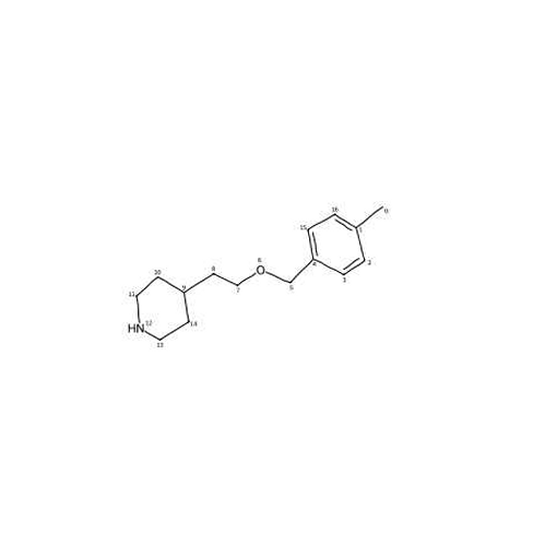 Cc1ccc(COCCC2CCNCC2)cc1